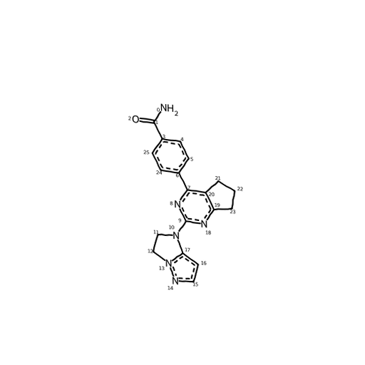 NC(=O)c1ccc(-c2nc(N3CCn4nccc43)nc3c2CCC3)cc1